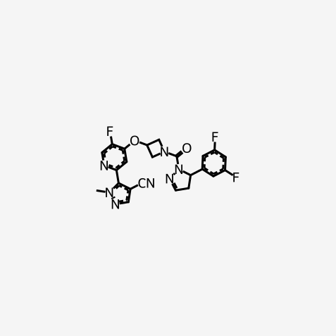 Cn1ncc(C#N)c1-c1cc(OC2CN(C(=O)N3N=CCC3c3cc(F)cc(F)c3)C2)c(F)cn1